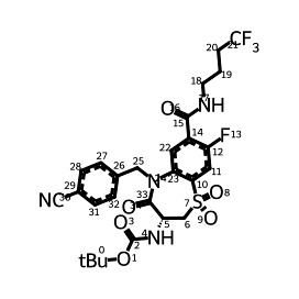 CC(C)(C)OC(=O)N[C@H]1CS(=O)(=O)c2cc(F)c(C(=O)NCCCC(F)(F)F)cc2N(Cc2ccc(C#N)cc2)C1=O